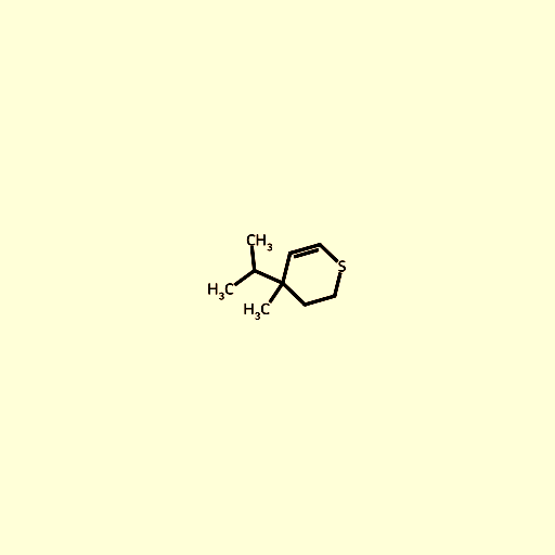 CC(C)C1(C)C=CSCC1